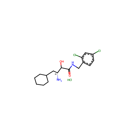 Cl.N[C@H](CC1CCCCC1)C(O)C(=O)NCc1ccc(Cl)cc1Cl